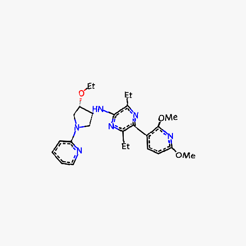 CCO[C@H]1CN(c2ccccn2)C[C@H]1Nc1nc(CC)c(-c2ccc(OC)nc2OC)nc1CC